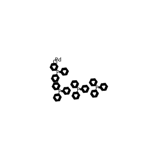 [Cl-].[Pd].c1ccc(P(c2ccccc2)c2ccccc2)cc1.c1ccc(P(c2ccccc2)c2ccccc2)cc1.c1ccc(P(c2ccccc2)c2ccccc2)cc1.c1ccc(P(c2ccccc2)c2ccccc2)cc1